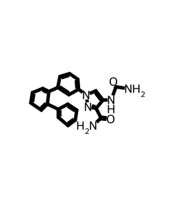 NC(=O)Nc1cn(-c2cccc(-c3ccccc3-c3ccccc3)c2)nc1C(N)=O